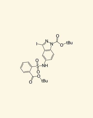 CC(C)(C)OC(=O)c1ccccc1S(=O)(=O)Nc1ccc2c(c1)c(I)nn2C(=O)OC(C)(C)C